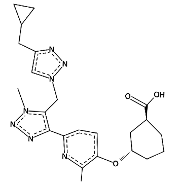 Cc1nc(-c2nnn(C)c2Cn2cc(CC3CC3)nn2)ccc1O[C@H]1CCC[C@H](C(=O)O)C1